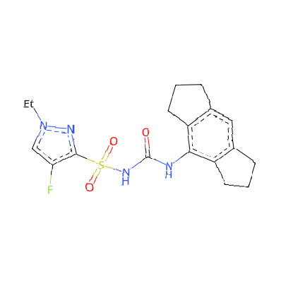 CCn1cc(F)c(S(=O)(=O)NC(=O)Nc2c3c(cc4c2CCC4)CCC3)n1